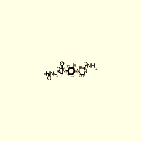 CC(=O)NC[C@H]1CN(c2ccc(N3CCOC(CN)C3)c(F)c2)C(=O)O1